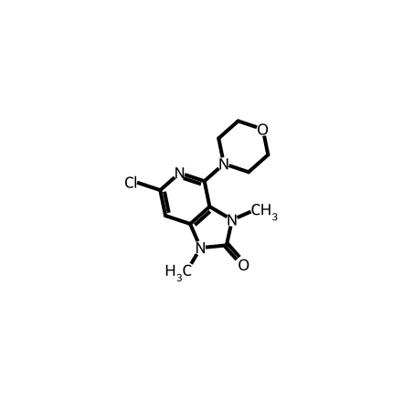 Cn1c(=O)n(C)c2c(N3CCOCC3)nc(Cl)cc21